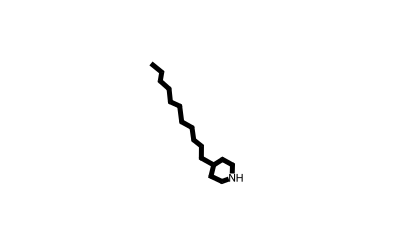 CCCCCCCCCCCC1CCNCC1